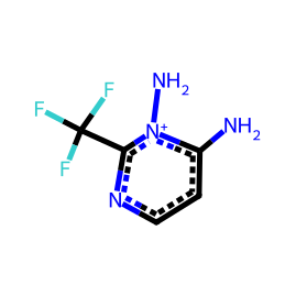 Nc1ccnc(C(F)(F)F)[n+]1N